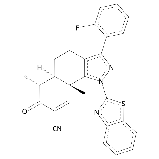 C[C@H]1C(=O)C(C#N)=C[C@@]2(C)c3c(c(-c4ccccc4F)nn3-c3nc4ccccc4s3)CC[C@H]12